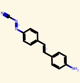 N#C/N=N/c1ccc(/C=C/c2ccc(N)cc2)cc1